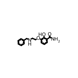 NC(=O)c1cccc(OCCNCc2ccccc2)c1O